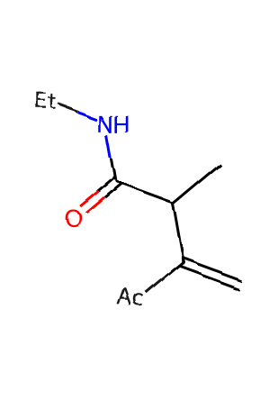 C=C(C(C)=O)C(C)C(=O)NCC